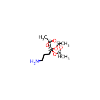 C[SiH]1O[Si]2(C)O[SiH](C)O[Si](CCCN)(O1)O2